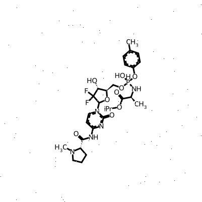 Cc1ccc(O[PH](O)(N[C@@H](C)C(=O)OC(C)C)OC[C@H]2OC(n3ccc(NC(=O)[C@@H]4CCCN4C)nc3=O)C(F)(F)[C@@H]2O)cc1